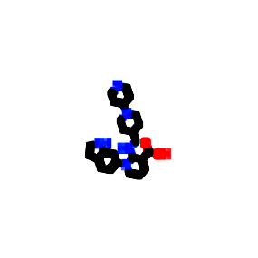 O=C(O)C1=CC=CN(c2ccc3cc[nH]c3c2)C1NCC1CCN(c2ccncc2)CC1